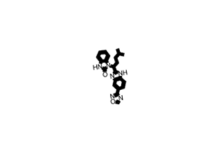 CC(C)CCC(c1nc2cc(-c3ncon3)ccc2[nH]1)n1c(=O)[nH]c2ccccc21